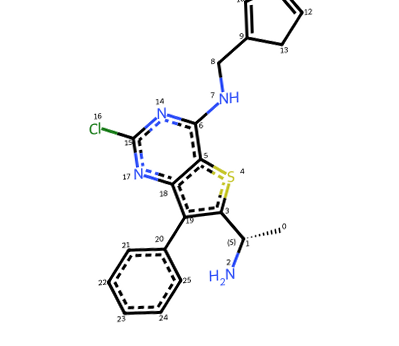 C[C@H](N)c1sc2c(NCC3=CC=CC3)nc(Cl)nc2c1-c1ccccc1